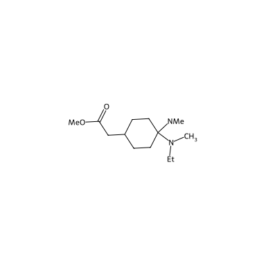 CCN(C)C1(NC)CCC(CC(=O)OC)CC1